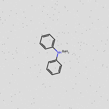 [BaH2].c1ccc(Nc2ccccc2)cc1